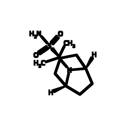 CC(C)N1[C@@H]2CC[C@H]1C[C@H](S(N)(=O)=O)C2